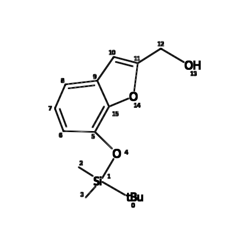 CC(C)(C)[Si](C)(C)Oc1cccc2cc(CO)oc12